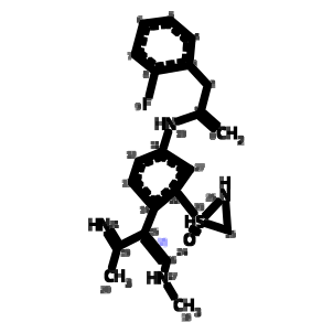 C=C(Cc1ccccc1F)Nc1ccc(/C(=C/NC)C(C)=N)c([SH]2(=O)CN2)c1